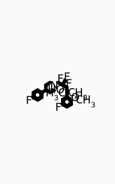 COc1ccc(F)cc1C(C)(C)CC(O)(CN1CCC(c2ccc(F)cc2)CC1)C(F)(F)F